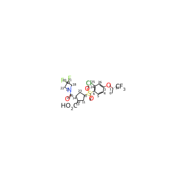 C[C@H](Oc1ccc(S(=O)(=O)[C@H]2C[C@@H](C(=O)O)[C@H](C(=O)N3CC(F)(F)C3)C2)c(Cl)c1)C(F)(F)F